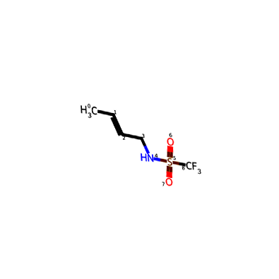 C/C=C/CNS(=O)(=O)C(F)(F)F